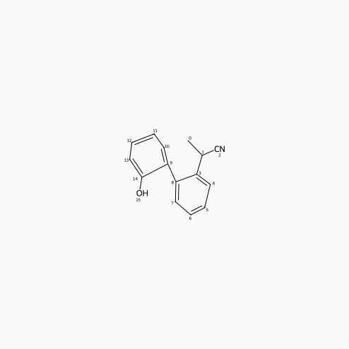 CC(C#N)c1ccccc1-c1ccccc1O